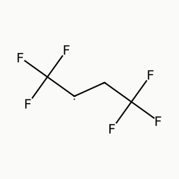 FC(F)(F)[CH]CC(F)(F)F